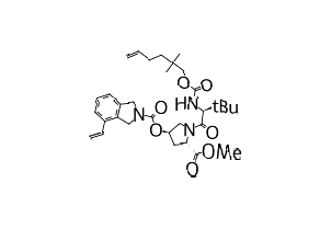 C=CCCC(C)(C)COC(=O)N[C@H](C(=O)N1C[C@H](OC(=O)N2Cc3cccc(C=C)c3C2)C[C@H]1C(=O)OC)C(C)(C)C